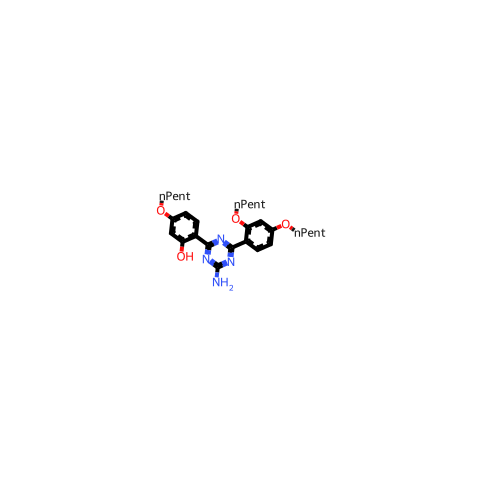 CCCCCOc1ccc(-c2nc(N)nc(-c3ccc(OCCCCC)cc3OCCCCC)n2)c(O)c1